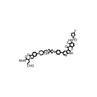 CNC(=O)C(CCC=O)N1Cc2cc(N3CCC(O)(CN4CC5(C4)CN(c4ccc(-c6cnc7[nH]cc(C(=O)c8c(F)ccc(N[S+]([O-])N9CCC(F)C9)c8F)c7c6)cc4)C5)CC3)ccc2C1=O